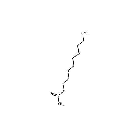 COCCOCCOCCO[Si](C)=O